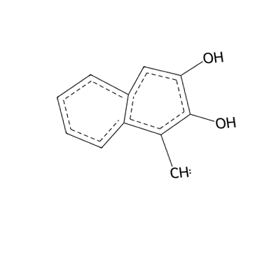 [CH]c1c(O)c(O)cc2ccccc12